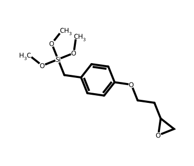 CO[Si](Cc1ccc(OCCC2CO2)cc1)(OC)OC